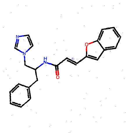 O=C(/C=C/c1cc2ccccc2o1)NC(Cc1ccccc1)Cn1ccnc1